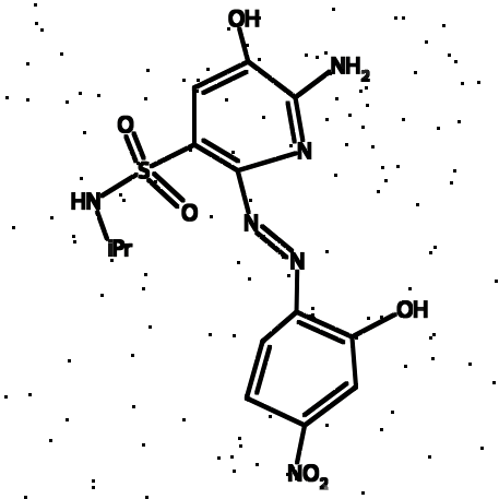 CC(C)NS(=O)(=O)c1cc(O)c(N)nc1N=Nc1ccc([N+](=O)[O-])cc1O